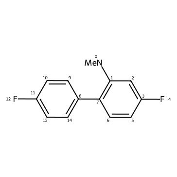 CNc1cc(F)ccc1-c1ccc(F)cc1